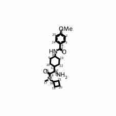 COc1ccc(C(=O)NC2CCC([C@H](N)C(=O)N(C)C3CCC3)CC2)cc1